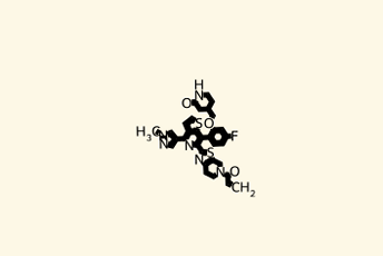 C=CC(=O)N1CCc2nc(-c3nc(-c4cnn(C)c4)c4ccsc4c3-c3ccc(F)cc3OCC3CCNC(=O)C3)sc2C1